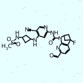 CS(=O)(=O)NC1CC(Nc2cc(NC(=O)N3c4nc(C=O)ccc4C4(F)CC3C4)ncc2C#N)C1